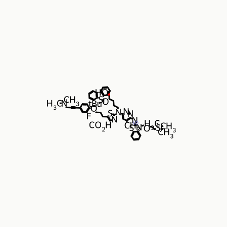 Cc1cc(N(CCCC(CO)O[Si](c2ccccc2)(c2ccccc2)C(C)(C)C)c2nc(C(=O)O)c(CCCOc3ccc(C#CCN(C)C)cc3F)s2)nnc1/N=c1\sc2ccccc2n1COCC[Si](C)(C)C